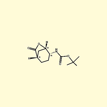 CC(C)(C)OC(=O)N[C@@H]1CC[C@H]2C[C@@H]1OC2=O